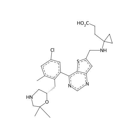 Cc1cc(Cl)cc(-c2ncnc3cc(CNC4(CCC(=O)O)CC4)sc23)c1C[C@H]1CNCC(C)(C)O1